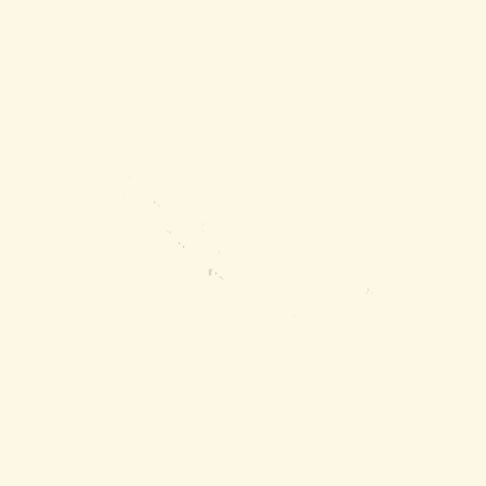 N#Cc1ccc(O[C@H]2CC[C@H](NC(=O)c3ccc(N4CCC(=O)CC4)nn3)CC2)cc1Cl